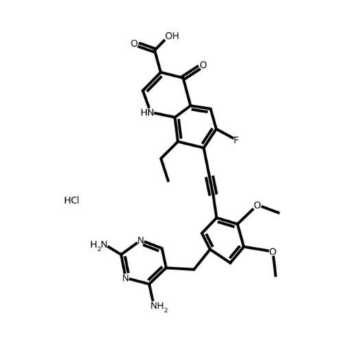 CCc1c(C#Cc2cc(Cc3cnc(N)nc3N)cc(OC)c2OC)c(F)cc2c(=O)c(C(=O)O)c[nH]c12.Cl